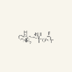 N=CC(=C\NCCOc1cc(F)cc(F)c1)/C=C/C(=O)Nc1ccccc1N